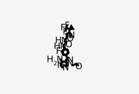 COCCn1nc(-c2ccc(NC(=O)Nc3cc(C4(C(F)(F)F)CC4)no3)c(F)c2)c2c(N)ncnc21